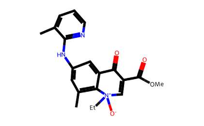 CC[N+]1([O-])C=C(C(=O)OC)C(=O)c2cc(Nc3ncccc3C)cc(C)c21